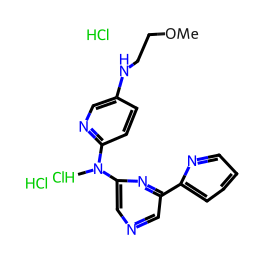 COCCNc1ccc(N(C)c2cncc(-c3ccccn3)n2)nc1.Cl.Cl.Cl